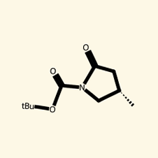 C[C@H]1CC(=O)N(C(=O)OC(C)(C)C)C1